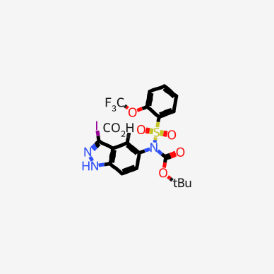 CC(C)(C)OC(=O)N(c1ccc2[nH]nc(I)c2c1C(=O)O)S(=O)(=O)c1ccccc1OC(F)(F)F